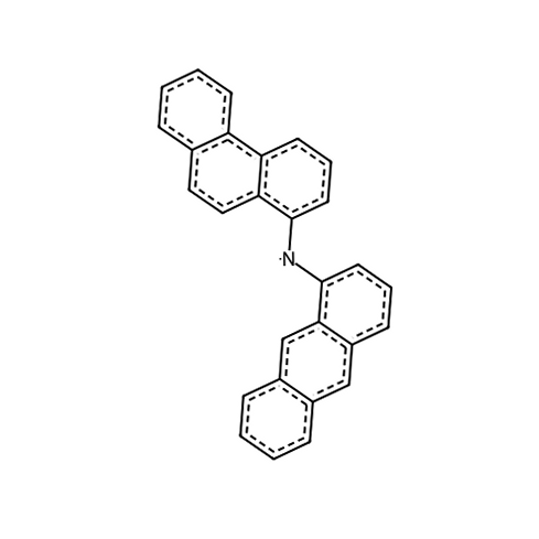 c1ccc2cc3c([N]c4cccc5c4ccc4ccccc45)cccc3cc2c1